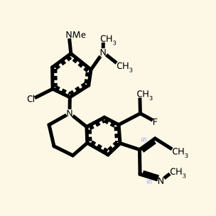 C/C=C(\C=N/C)c1cc2c(cc1C(C)F)N(c1cc(N(C)C)c(NC)cc1Cl)CCC2